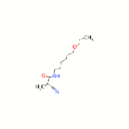 C=C(C#N)C(=O)NCCCCCCOCCC